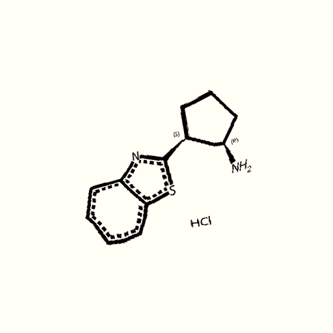 Cl.N[C@@H]1CCC[C@@H]1c1nc2ccccc2s1